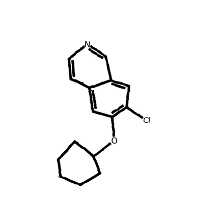 Clc1cc2cnccc2cc1OC1CC[CH]CC1